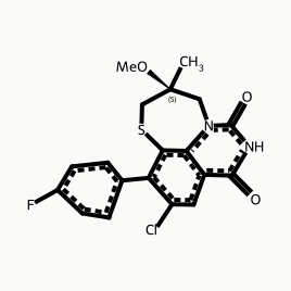 CO[C@]1(C)CSc2c(-c3ccc(F)cc3)c(Cl)cc3c(=O)[nH]c(=O)n(c23)C1